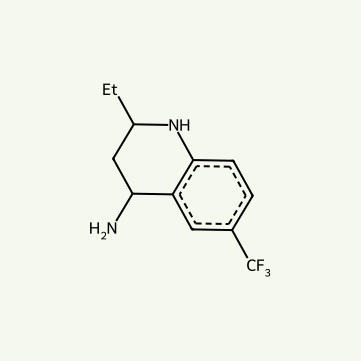 CCC1CC(N)c2cc(C(F)(F)F)ccc2N1